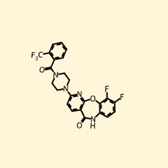 O=C1Nc2ccc(F)c(F)c2Oc2nc(N3CCN(C(=O)c4ccccc4C(F)(F)F)CC3)ccc21